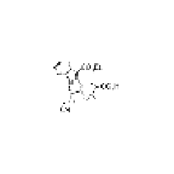 CCOC(=O)c1c2ccccc2n2cc(OCC#N)c(OC(C)C(C)C(=O)O)cc12